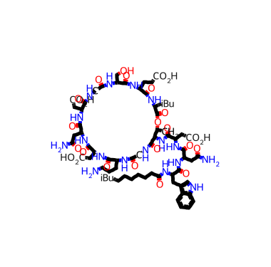 CCC(C)CCCCCCC(=O)NC(Cc1c[nH]c2ccccc12)C(=O)NC(CC(N)=O)C(=O)NC(CC(=O)O)C(=O)NC1C(=O)NCC(=O)NC(CCCN)C(=O)NC(CC(=O)O)C(=O)NC(CC(N)=O)C(=O)NC(CC(=O)O)C(=O)NCC(=O)NC(CO)C(=O)NC(CCC(=O)O)C(=O)NC(C(C)CC)C(=O)OC1C